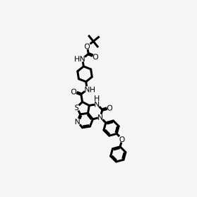 CC(C)(C)OC(=O)NC1CCC(NC(=O)C2Sc3nccc4c3C2NC(=O)N4c2ccc(Oc3ccccc3)cc2)CC1